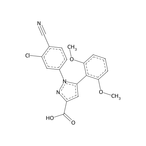 COc1cccc(OC)c1-c1cc(C(=O)O)nn1-c1ccc(C#N)c(Cl)c1